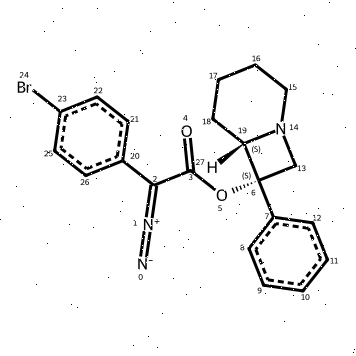 [N-]=[N+]=C(C(=O)O[C@@]1(c2ccccc2)CN2CCCC[C@H]21)c1ccc(Br)cc1